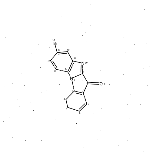 O=C1C2=C(CCC=C2)n2c1nc1cc(Br)ccc12